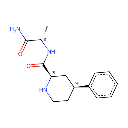 C[C@H](NC(=O)[C@H]1C[C@@H](c2ccccc2)CCN1)C(N)=O